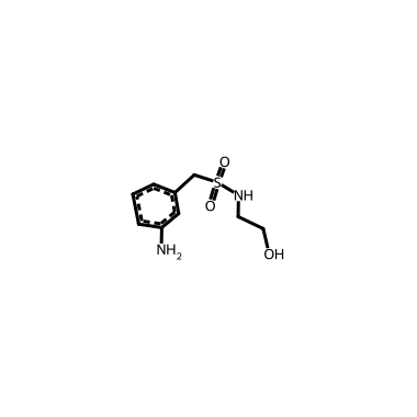 Nc1cccc(CS(=O)(=O)NCCO)c1